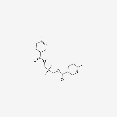 CC1=CCC(C(=O)OCC(C)(C)COC(=O)C2CC=C(C)CC2)CC1